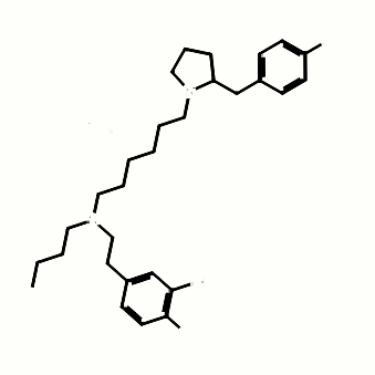 Br.Br.CCCCN(CCCCCCN1CCCC1Cc1ccc(O)cc1)CCc1ccc(O)c(O)c1